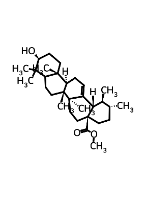 COC(=O)[C@]12CC[C@@H](C)[C@H](C)[C@H]1C1=CC[C@@H]3[C@@]4(C)CC[C@H](O)C(C)(C)C4CC[C@@]3(C)[C@]1(C)CC2